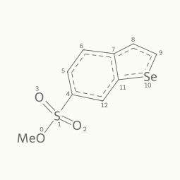 COS(=O)(=O)c1ccc2cc[se]c2c1